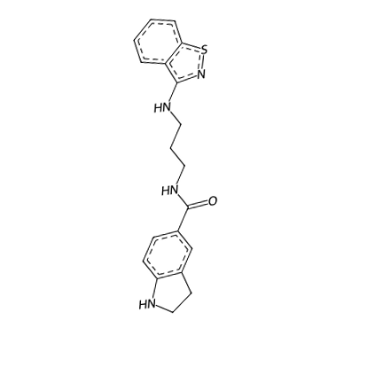 O=C(NCCCNc1nsc2ccccc12)c1ccc2c(c1)CCN2